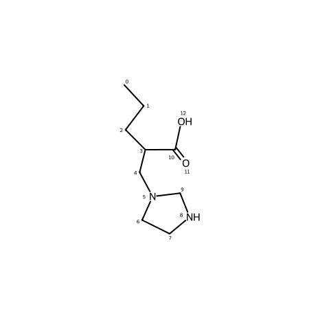 CCCC(CN1CCNC1)C(=O)O